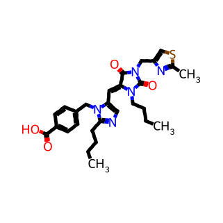 CCCCc1ncc(/C=C2/C(=O)N(Cc3csc(C)n3)C(=O)N2CCCC)n1Cc1ccc(C(=O)O)cc1